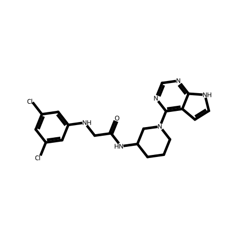 O=C(CNc1cc(Cl)cc(Cl)c1)NC1CCCN(c2ncnc3[nH]ccc23)C1